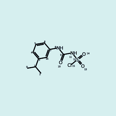 CC(C)c1cccc(NC(=O)NS(=O)(=O)Cl)c1